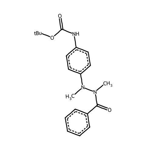 CN(C(=O)c1ccccc1)N(C)c1ccc(NC(=O)OC(C)(C)C)cc1